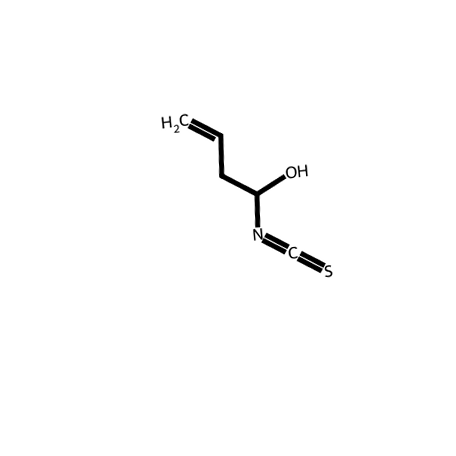 C=CCC(O)N=C=S